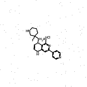 Cl.FC1(CN2C=CNc3cc(-c4ccncc4)nc([AsH2])c32)CCCNC1